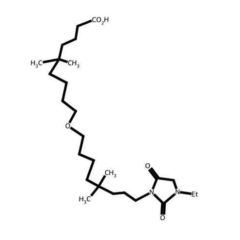 CCN1CC(=O)N(CCCC(C)(C)CCCCOCCCCC(C)(C)CCCC(=O)O)C1=O